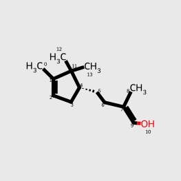 CC1=CC[C@@H](CC/C(C)=C/O)C1(C)C